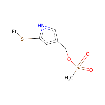 CCSc1cc(COS(C)(=O)=O)c[nH]1